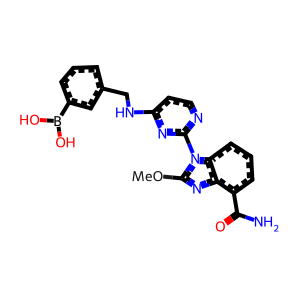 COc1nc2c(C(N)=O)cccc2n1-c1nccc(NCc2cccc(B(O)O)c2)n1